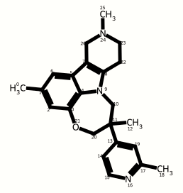 Cc1cc2c3c(c1)c1c(n3CC(C)(c3ccnc(C)c3)CO2)CCN(C)C1